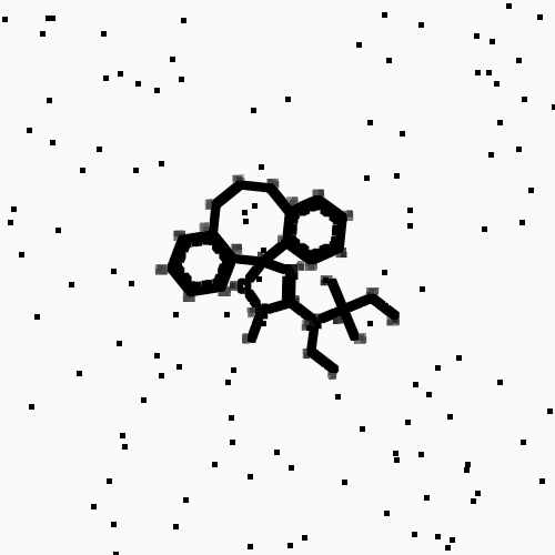 CCN(C1=NC2(ON1C)c1ccccc1CCCc1ccccc12)C(C)(C)CC